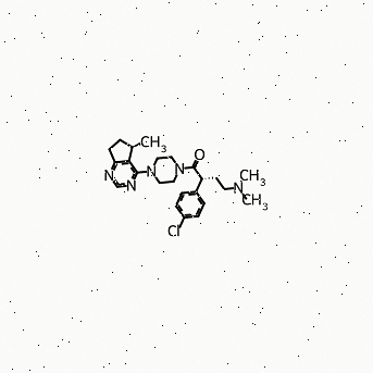 C[C@@H]1CCc2ncnc(N3CCN(C(=O)[C@H](CCN(C)C)c4ccc(Cl)cc4)CC3)c21